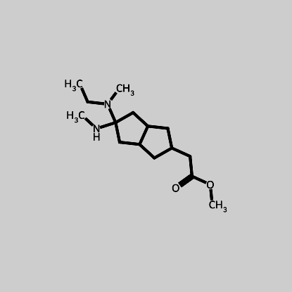 CCN(C)C1(NC)CC2CC(CC(=O)OC)CC2C1